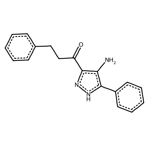 Nc1c(C(=O)CCc2ccccc2)n[nH]c1-c1ccccc1